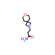 NC(=O)CCN1CC2(CCOCC2)C1